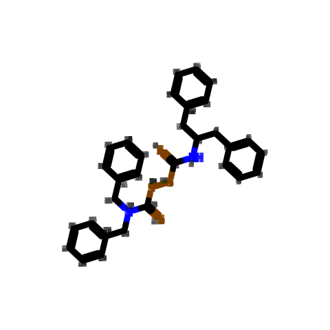 S=C(NC(Cc1ccccc1)Cc1ccccc1)SSC(=S)N(Cc1ccccc1)Cc1ccccc1